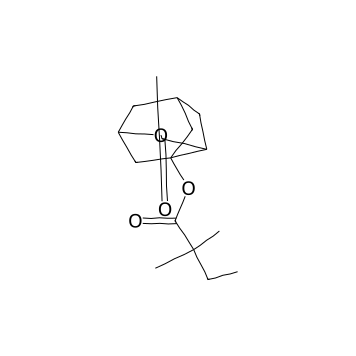 CCC(C)(C)C(=O)OC12CC3CC(C1)OC(=O)C2C3